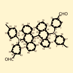 Cc1ccc(N(c2ccc(C=O)cc2)c2c3ccccc3c(-c3c4ccccc4c(N(c4ccc(C)cc4)c4ccc(C=O)cc4)c4ccccc34)c3ccccc23)cc1